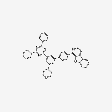 c1ccc(-c2nc(-c3ccccc3)nc(-c3cc(-c4ccncc4)cc(-c4ccc(-c5ncnc6c5oc5ccccc56)cc4)c3)n2)cc1